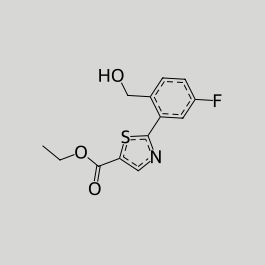 CCOC(=O)c1cnc(-c2cc(F)ccc2CO)s1